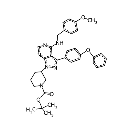 COc1ccc(CNc2ncnc3c2c(-c2ccc(Oc4ccccc4)cc2)nn3C2CCCN(C(=O)OC(C)(C)C)C2)cc1